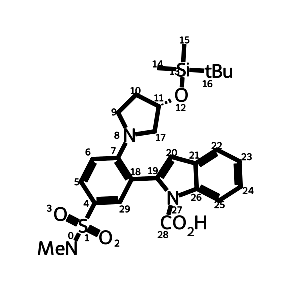 CNS(=O)(=O)c1ccc(N2CC[C@H](O[Si](C)(C)C(C)(C)C)C2)c(-c2cc3ccccc3n2C(=O)O)c1